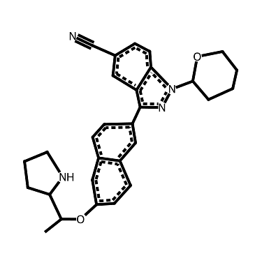 CC(Oc1ccc2cc(-c3nn(C4CCCCO4)c4ccc(C#N)cc34)ccc2c1)C1CCCN1